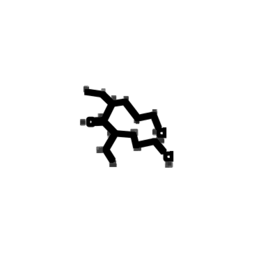 CCC(CCCCl)C(=O)C(CC)CCCCl